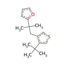 CC(C)(C)c1cscc1CC(C)(C)c1ccco1